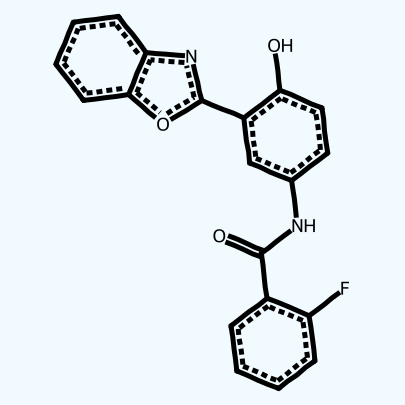 O=C(Nc1ccc(O)c(-c2nc3ccccc3o2)c1)c1ccccc1F